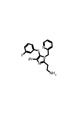 CC(C)c1nc(CCN)n(Cc2ccccn2)c1Sc1cccc(F)c1